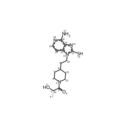 C[C@H](O)C(=O)N1CCC(CCn2c(S)nc3c(N)nccc32)CC1